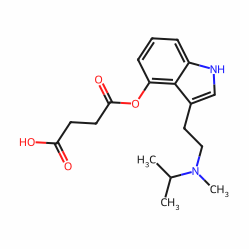 CC(C)N(C)CCc1c[nH]c2cccc(OC(=O)CCC(=O)O)c12